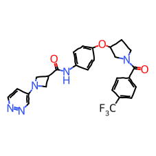 O=C(Nc1ccc(OC2CCN(C(=O)c3ccc(C(F)(F)F)cc3)C2)cc1)C1CN(c2ccnnc2)C1